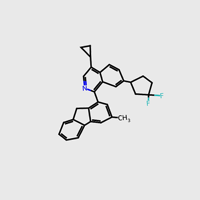 Cc1cc2c(c(-c3ncc(C4CC4)c4ccc(C5CCC(F)(F)C5)cc34)c1)Cc1ccccc1-2